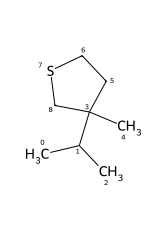 CC(C)C1(C)CCSC1